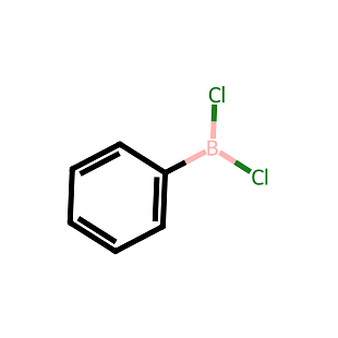 ClB(Cl)c1ccccc1